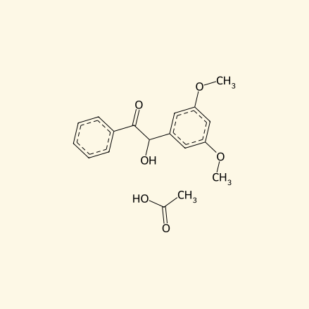 CC(=O)O.COc1cc(OC)cc(C(O)C(=O)c2ccccc2)c1